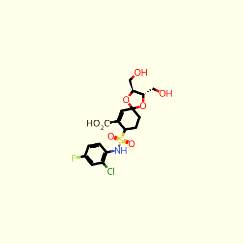 O=C(O)C1=CC2(CCC1S(=O)(=O)Nc1ccc(F)cc1Cl)O[C@@H](CO)[C@H](CO)O2